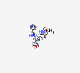 CS(=O)(=O)Nc1cccc(-c2nc(NCCc3cccnc3)cc(N3CCOCC3)n2)c1